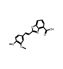 COc1ccc(C=Cc2nc3c(C(=O)O)cccc3o2)cc1OC